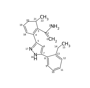 C=C(N)C1=C(c2cc(-c3ccccc3CC)[nH]n2)C=CCC1C